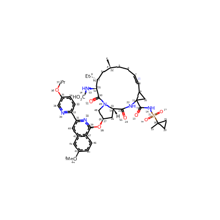 CC[C@@H]1C[C@@H](C)CC/C=C\C2CC2(C(=O)NS(=O)(=O)C2(C)CC2)NC(=O)[C@@H]2C[C@@H](Oc3nc(-c4ccc(OC(C)C)cn4)cc4cc(OC)ccc34)CN2C(=O)[C@H]1NC(=O)O